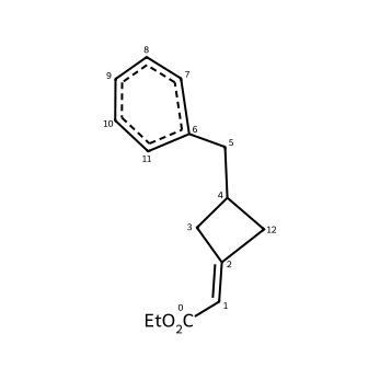 CCOC(=O)C=C1CC(Cc2ccccc2)C1